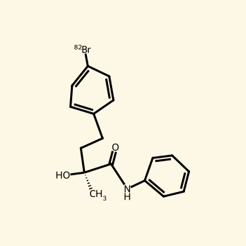 C[C@](O)(CCc1ccc([82Br])cc1)C(=O)Nc1ccccc1